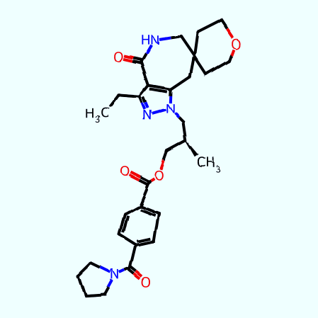 CCc1nn(C[C@@H](C)COC(=O)c2ccc(C(=O)N3CCCC3)cc2)c2c1C(=O)NCC1(CCOCC1)C2